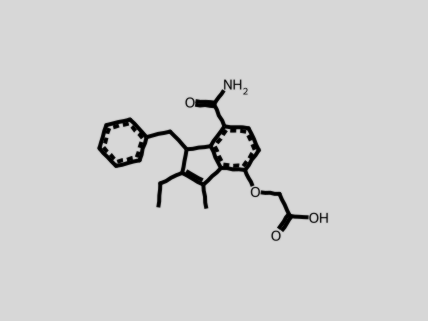 CCC1=C(C)c2c(OCC(=O)O)ccc(C(N)=O)c2C1Cc1ccccc1